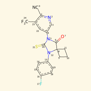 N#Cc1ncc(N2C(=O)C3(CCC3)N(c3ccc(F)cc3)C2=S)cc1C(F)(F)F